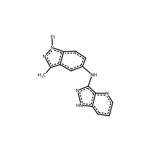 CCn1nc(C)c2cc(Nc3n[nH]c4cccnc34)ccc21